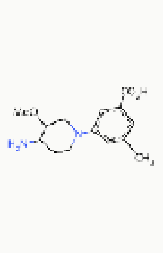 COC1CN(c2cc(C)cc(C(=O)O)c2)CCC1N